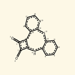 O=c1c(=O)c2c1[nH]c1ccccc1sc1ncccc12